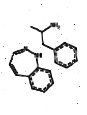 C1=Cc2ccccc2NN=C1.CC(N)Cc1ccccc1